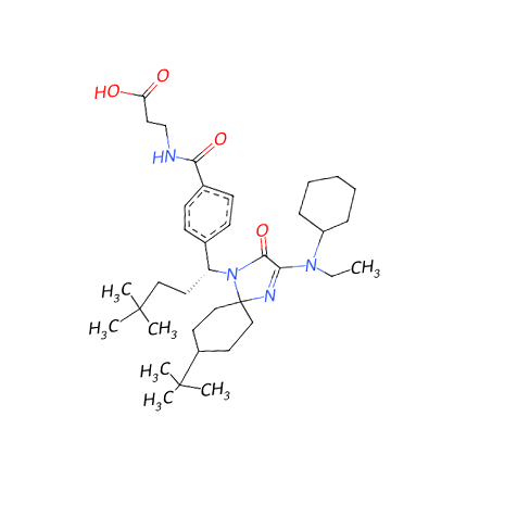 CCN(C1=NC2(CCC(C(C)(C)C)CC2)N([C@H](CCC(C)(C)C)c2ccc(C(=O)NCCC(=O)O)cc2)C1=O)C1CCCCC1